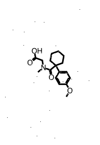 COc1ccc(C2(C(=O)N(C)CC(=O)O)CCCCC2)cc1